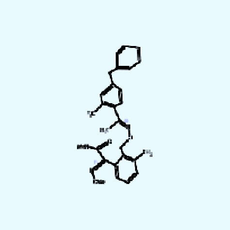 CNC(=O)/C(=N/OC)c1cccc(C)c1CO/N=C(\C)c1ccc(Cc2ccccc2)cc1C(F)(F)F